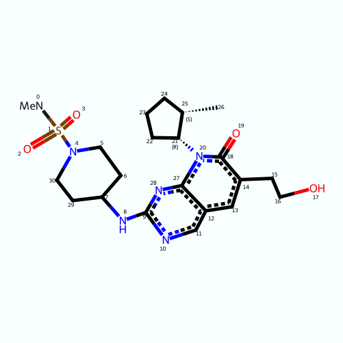 CNS(=O)(=O)N1CCC(Nc2ncc3cc(CCO)c(=O)n([C@@H]4CCC[C@@H]4C)c3n2)CC1